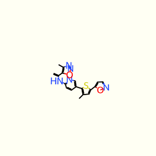 C=C(Nc1ccc(-c2sc(-c3ccno3)cc2C)cn1)c1onnc1C